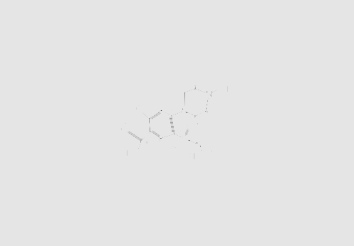 Cc1cc(N2CCN(C)CC2)c(S(N)(=O)=O)cc1C(=O)O.Cl